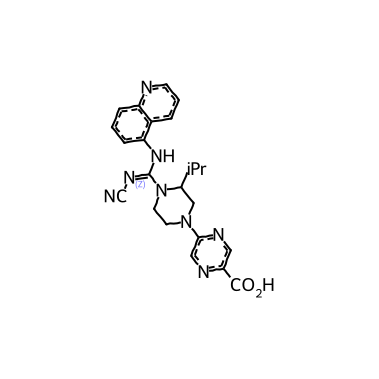 CC(C)C1CN(c2cnc(C(=O)O)cn2)CCN1/C(=N\C#N)Nc1cccc2ncccc12